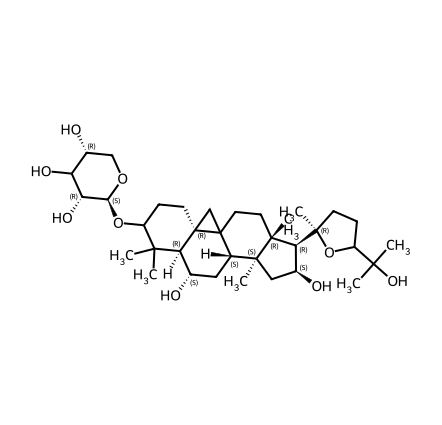 CC(C)(O)C1CC[C@](C)([C@H]2[C@@H](O)C[C@@]3(C)[C@@H]4C[C@H](O)[C@H]5C(C)(C)C(O[C@@H]6OC[C@@H](O)C(O)[C@H]6O)CC[C@@]56CC46CC[C@]23C)O1